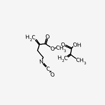 C=C(C)C(=O)O.C=C(CCN=C=O)C(=O)OC